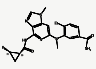 CCc1ccc(C(N)=O)cc1N(C)c1cc2c(ncn2C)c(NC(=O)[C@H]2C[C@H]2F)n1